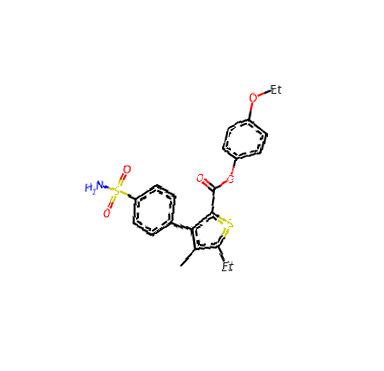 CCOc1ccc(OC(=O)c2sc(CC)c(C)c2-c2ccc(S(N)(=O)=O)cc2)cc1